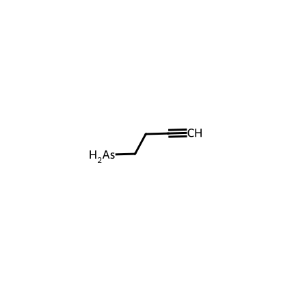 C#CCC[AsH2]